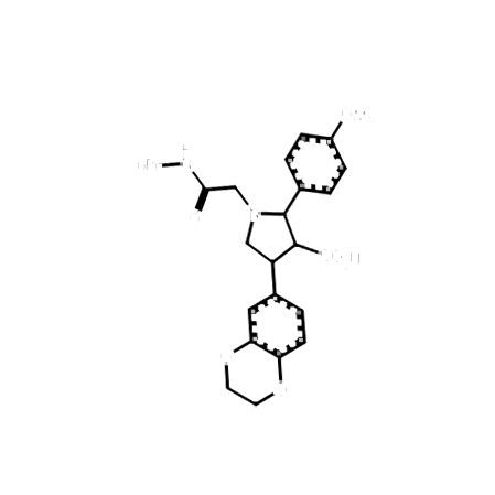 CCCNC(=O)CN1CC(c2ccc3c(c2)OCCO3)C(C(=O)O)C1c1ccc(OC)cc1